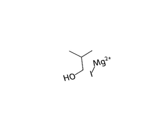 CC(C)CO.[Mg+2][I]